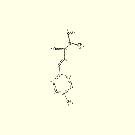 CON(C)C(=O)C=Cc1ccc(C)cc1